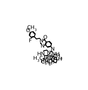 COc1ccc(CCn2cnc3cc(N=C(N[C@H]4C[C@H]5C[C@H]([C@H]4C)C5(C)C)N4CCN[C@@H](C(C)(C)C)C4)ccc3c2=O)c(F)c1